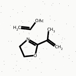 C=C(C)C1=NCCO1.C=COC(C)=O